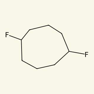 FC1CCCC(F)CCC1